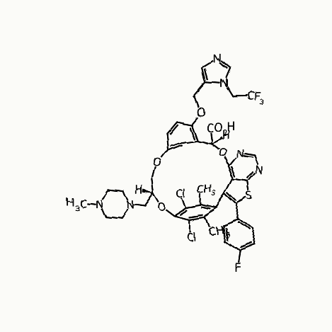 Cc1c(Cl)c2c(Cl)c(C)c1-c1c(-c3ccc(F)cc3)sc3ncnc(c13)O[C@@H](C(=O)O)c1cc(ccc1OCc1cncn1CC(F)(F)F)OC[C@@H](CN1CCN(C)CC1)O2